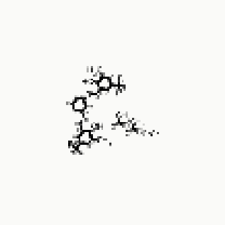 CC(=O)[O-].CC(=O)[O-].Cc1cc(C(F)(F)F)cc(C=Nc2cccc(N=Cc3cc(C(F)(F)F)cc(C)c3O)c2)c1O.[Co+2]